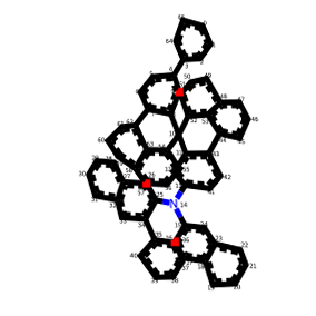 c1ccc(-c2ccc3c(c2)C2(c4cc(N(c5ccc6ccccc6c5)c5cc6ccccc6cc5-c5ccccc5)ccc4-c4cccc5cccc2c45)c2cccc4cccc-3c24)cc1